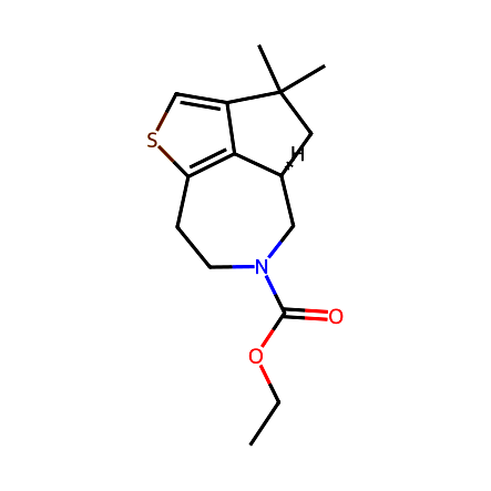 CCOC(=O)N1CCc2scc3c2[C@H](C1)CC3(C)C